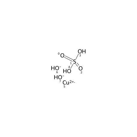 O=S(=O)(O)O.[Cu+2].[OH-].[OH-]